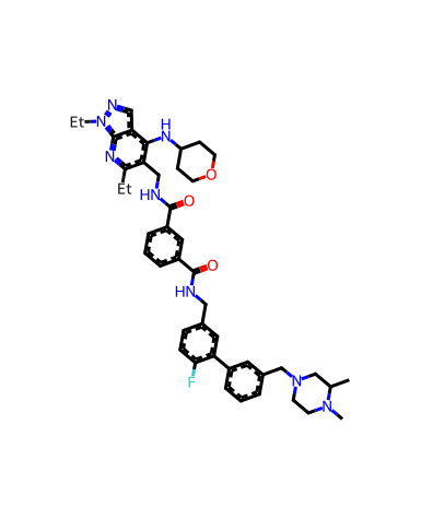 CCc1nc2c(cnn2CC)c(NC2CCOCC2)c1CNC(=O)c1cccc(C(=O)NCc2ccc(F)c(-c3cccc(CN4CCN(C)C(C)C4)c3)c2)c1